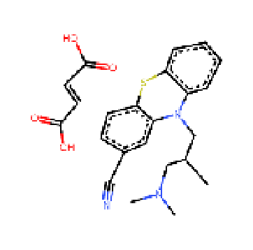 CC(CN(C)C)CN1c2ccccc2Sc2ccc(C#N)cc21.O=C(O)C=CC(=O)O